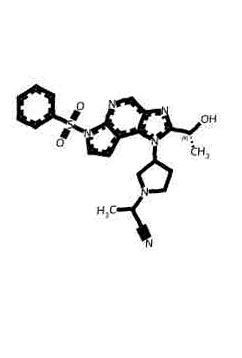 CC(C#N)N1CCC(n2c([C@@H](C)O)nc3cnc4c(ccn4S(=O)(=O)c4ccccc4)c32)C1